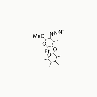 CCC1OC(OC)C(N=[N+]=[N-])C(C)C1OC1OC(C)C(C)C(C)C1C